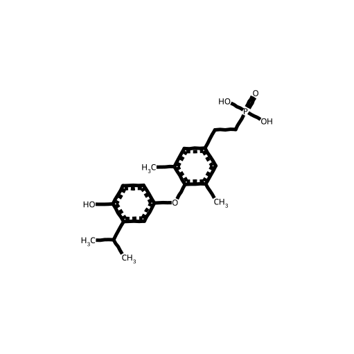 Cc1cc(CCP(=O)(O)O)cc(C)c1Oc1ccc(O)c(C(C)C)c1